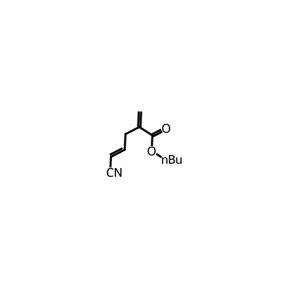 C=C(CC=CC#N)C(=O)OCCCC